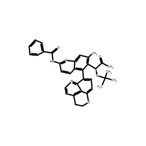 CC(=O)[C@@H](OC(C)(C)C)c1c(C)cc2nc(NC(=O)c3ccccc3)ccc2c1-c1ccc2c3c(ccnc13)CCO2